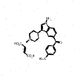 COc1ccc(C(=O)c2ccc3c(c2)c(C2CCN(C)CC2)cn3N)cc1.O=C(O)/C=C/C(=O)O